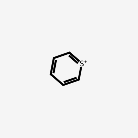 c1cc[s+]cc1